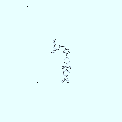 COc1cc(Cc2csc(N3CCN(S(=O)(=O)c4ccc([N+](=O)[O-])cc4)CC3)n2)cc(OC)c1